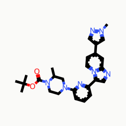 CC1CN(c2cccc(-c3cnc4cc(-c5cnn(C)c5)ccn34)n2)CCN1C(=O)OC(C)(C)C